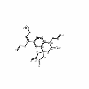 C=CC/C(=C/CO)c1ccc2c(c1)C(CC=C)(CC=C)CC(=O)N2CC=C